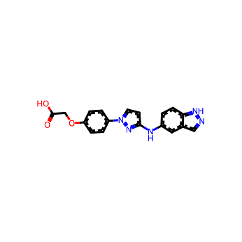 O=C(O)COc1ccc(-n2ccc(Nc3ccc4[nH]ncc4c3)n2)cc1